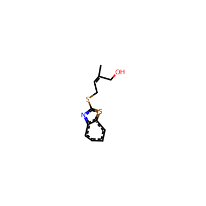 CC(=CCSc1nc2ccccc2s1)CO